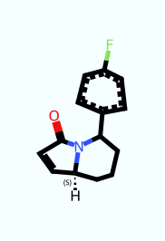 O=C1C=C[C@@H]2CCCC(c3ccc(F)cc3)N12